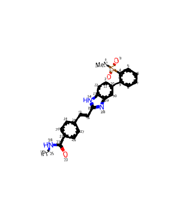 CNS(=O)(=O)c1ccccc1-c1ccc2[nH]c(C=Cc3ccc(C(=O)NC(C)C)cc3)nc2c1